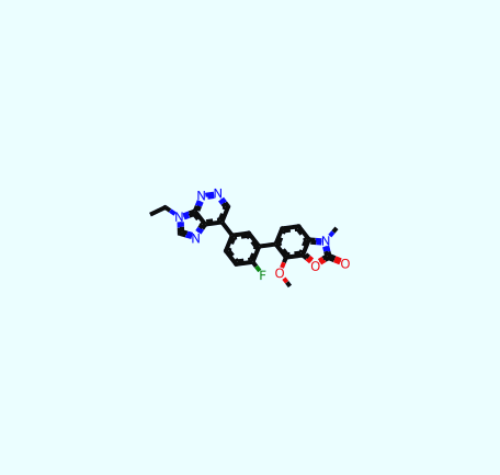 CCn1cnc2c(-c3ccc(F)c(-c4ccc5c(oc(=O)n5C)c4OC)c3)cnnc21